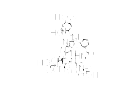 CC(C)(O/N=C(\C(=O)N[C@@H]1C(=O)N(S(=O)(=O)O)[C@@H]1CNC(=O)c1cccc(C(=O)NCc2cc(=O)c(O)cn2O)c1)c1csc(N)n1)C(=O)O